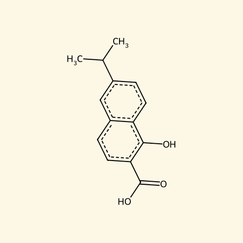 CC(C)c1ccc2c(O)c(C(=O)O)ccc2c1